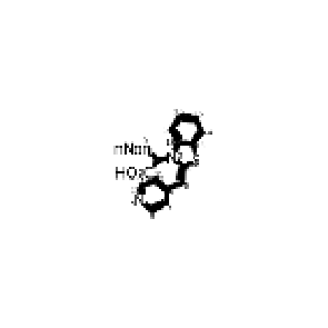 CCCCCCCCCC(C(=O)O)N1/C(=C\c2ccncc2)Sc2ccccc21